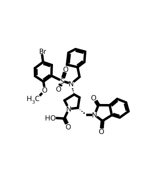 COc1ccc(Br)cc1S(=O)(=O)N(Cc1ccccc1)[C@@H]1C[C@H](CN2C(=O)c3ccccc3C2=O)N(C(=O)O)C1